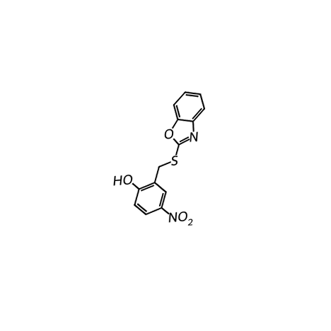 O=[N+]([O-])c1ccc(O)c(CSc2nc3ccccc3o2)c1